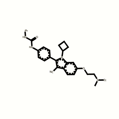 CCN(C)CCOc1ccc2c(C#N)c(-c3ccc(NC(=O)NC(C)C)cc3)n(C3CCC3)c2c1